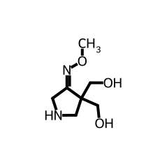 CO/N=C1/CNCC1(CO)CO